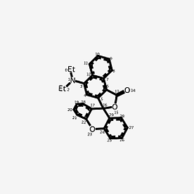 CCN(CC)c1cc2c(c3ccccc13)C(=O)OC21c2ccccc2Oc2ccccc21